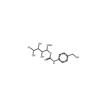 CCC(O)C(O)C(O)C(OC)OC(=O)Nc1ccc(CO)cc1